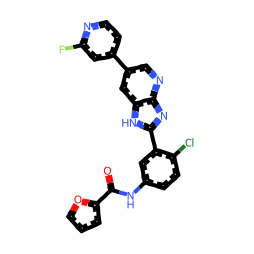 O=C(Nc1ccc(Cl)c(-c2nc3ncc(-c4ccnc(F)c4)cc3[nH]2)c1)c1ccco1